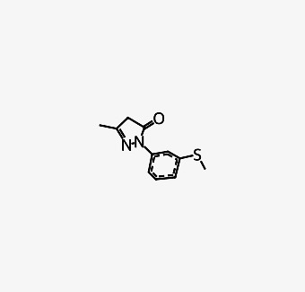 CSc1cccc(N2N=C(C)CC2=O)c1